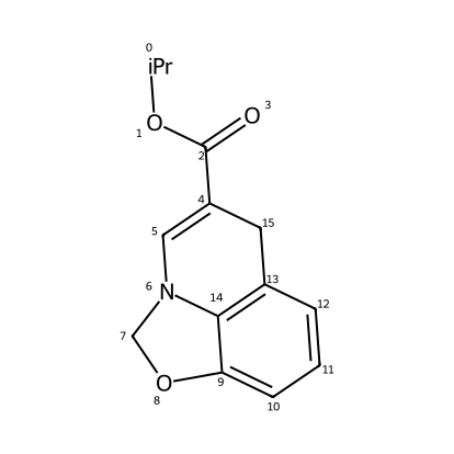 CC(C)OC(=O)C1=CN2COc3cccc(c32)C1